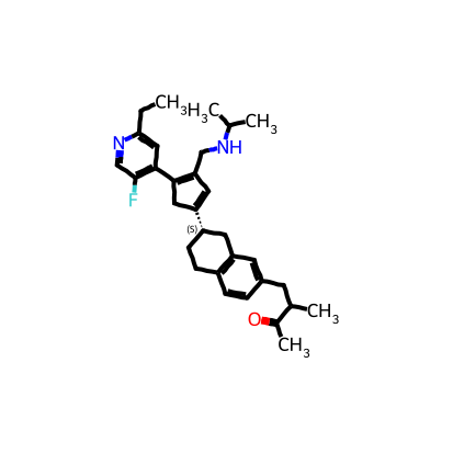 CCc1cc(C2=C(CNC(C)C)C=C([C@H]3CCc4ccc(CC(C)C(C)=O)cc4C3)C2)c(F)cn1